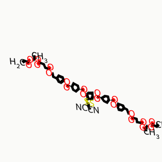 C=CC(=O)OCC(C)OC(=O)CCC(=O)OCCc1ccc(OC(=O)[C@H]2CC[C@H](C(=O)Oc3ccc(OC(=O)[C@H]4CC[C@H](C(=O)Oc5ccc(CCOC(=O)CCC(=O)OC(C)COC(=O)C=C)cc5)CC4)c4c3SC(=C(C#N)C#N)S4)CC2)cc1